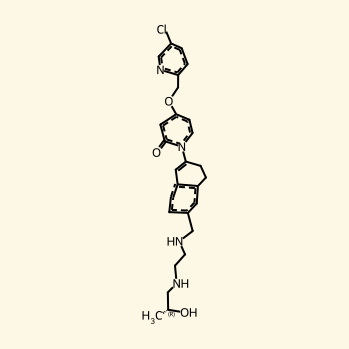 C[C@@H](O)CNCCNCc1ccc2c(c1)CCC(n1ccc(OCc3ccc(Cl)cn3)cc1=O)=C2